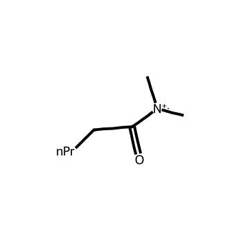 CCCCC(=O)[N+](C)C